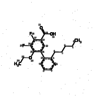 CCCCCc1ncccc1-c1cc(C(=O)O)c(F)c(F)c1OCC